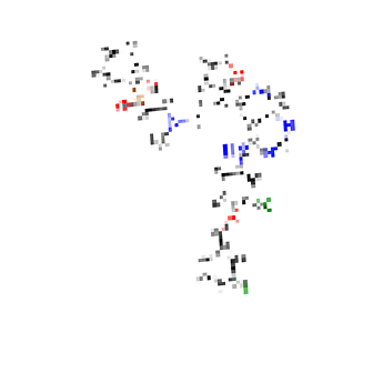 CN(CCCC1(c2cc3c(Nc4ccc(OCc5cccc(F)c5)c(Cl)c4)ncnc3cn2)CC=CO1)CCS(=O)(=O)c1ccccc1